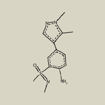 CN=S(C)(=O)c1cc(-c2cnn(C)c2C)ccc1N